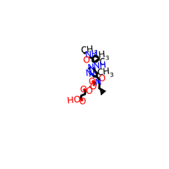 CCNC(=O)c1ccc(C)c(Nc2ncnn3cc(C(=O)N(CCC4CC4)C(=O)OCOC(=O)CCC(=O)O)c(C)c23)c1